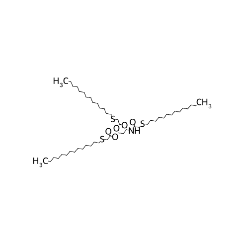 CCCCCCCCCCCCCCSCC(=O)NC(CCOC(=O)CSCCCCCCCCCCCCCC)OC(=O)CSCCCCCCCCCCCCCC